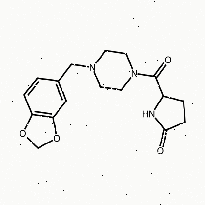 O=C1CCC(C(=O)N2CCN(Cc3ccc4c(c3)OCO4)CC2)N1